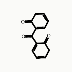 O=C1CC=CC=C1C(=O)C1=CC=CCC1=O